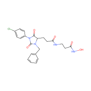 O=C(CCNC(=O)CCC1C(=O)N(c2ccc(Cl)cc2)C(=O)N1Cc1ccccc1)NO